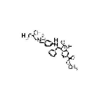 CCOC(=O)c1ccc2c(c1)NC(=O)/C2=C(\Nc1ccc(CNCC(C)C)cc1)c1ccccc1